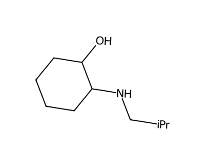 CC(C)CNC1CCCCC1O